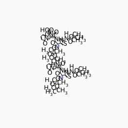 CC(C)(C)OC(=O)Nc1nc(/C(=N/OC(C)(C)C(=O)OC(C)(C)C)C(=O)N[C@@H]2C(=O)N(S(=O)(=O)O)[C@@H]2Cn2ccccc2=O)cs1.CC(C)(C)OC(=O)Nc1nc(/C(=N/OC(C)(C)C(=O)OC(C)(C)C)C(=O)N[C@@H]2C(=O)N[C@@H]2Cn2ccccc2=O)cs1